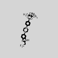 CC1(C)OB(c2ccc(N3CCN(c4ccc5nc(CC(F)(F)F)[nH]c5c4)CC3)cc2)OC1(C)C